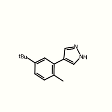 Cc1ccc(C(C)(C)C)cc1-c1cn[nH]c1